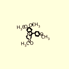 COc1ccc(-c2c3n(c4cc(OC)c(OC)cc24)CCN(C(C)=O)C3)cc1